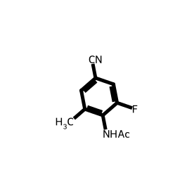 CC(=O)Nc1c(C)cc(C#N)cc1F